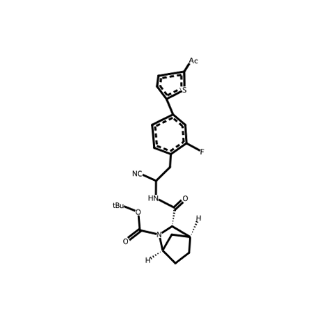 CC(=O)c1ccc(-c2ccc(CC(C#N)NC(=O)[C@@H]3[C@H]4CC[C@H](C4)N3C(=O)OC(C)(C)C)c(F)c2)s1